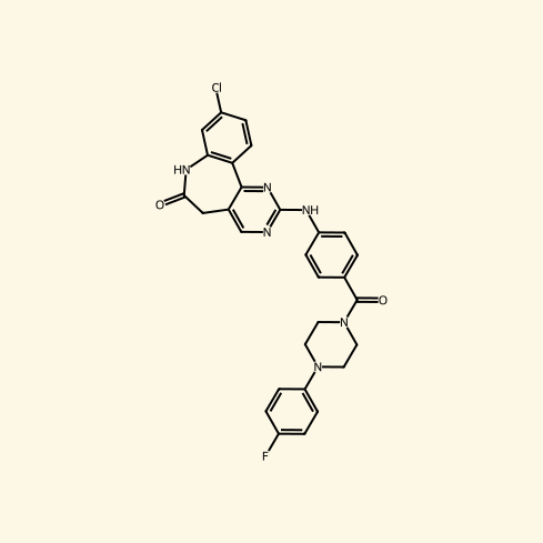 O=C1Cc2cnc(Nc3ccc(C(=O)N4CCN(c5ccc(F)cc5)CC4)cc3)nc2-c2ccc(Cl)cc2N1